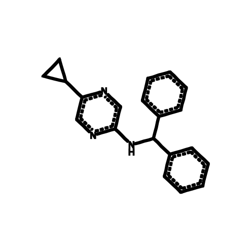 c1ccc(C(Nc2cnc(C3CC3)cn2)c2ccccc2)cc1